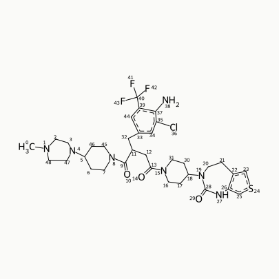 CN1CCN(C2CCN(C(=O)C(CC(=O)N3CCC(N4CCc5cscc5NC4=O)CC3)Cc3cc(Cl)c(N)c(C(F)(F)F)c3)CC2)CC1